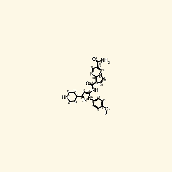 COc1ccc(-n2nc(C3CCNCC3)cc2NC(=O)c2cnn3cc(C(N)=O)cnc23)cc1